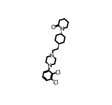 O=C1CCCCN1[C@H]1CC[C@H](CCN2CCN(c3cccc(Cl)c3Cl)CC2)CC1